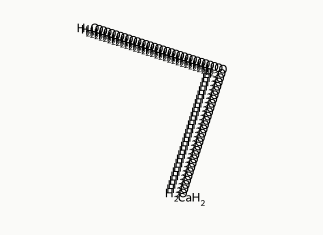 O.O.O.O.O.O.O.O.O.O.O.O.O.O.O.O.O.O.O.O.O.O.O.O.O.O.O.O.O.O.O.O.O.O.O.O.O.O.O.O.O.O.O.O.O.O.O.O.O.O.O.O.O.O.O.O.O.O.O.O.[CaH2]